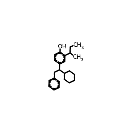 CCC(C)c1cc(C(Cc2ccccc2)C2CCCCC2)ccc1O